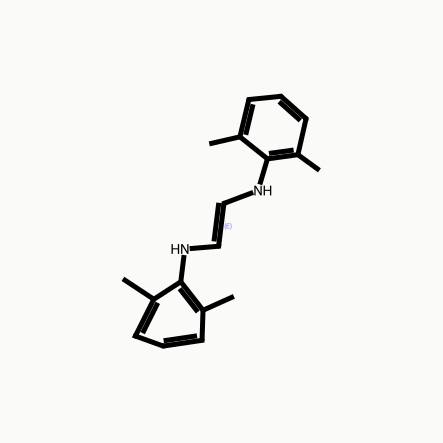 Cc1cccc(C)c1N/C=C/Nc1c(C)cccc1C